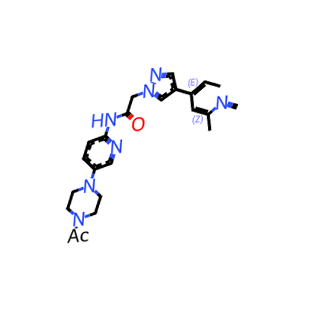 C=N/C(C)=C\C(=C/C)c1cnn(CC(=O)Nc2ccc(N3CCN(C(C)=O)CC3)cn2)c1